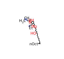 CC/C=C\CC1C(CC(=O)OCCCCC(O)CCCCCCCC2CC2CCCCCCCC)CCC1OC(O)CCN(C)C